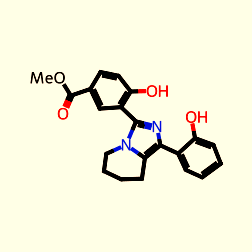 COC(=O)c1ccc(O)c(-c2nc(-c3ccccc3O)c3n2CCCC3)c1